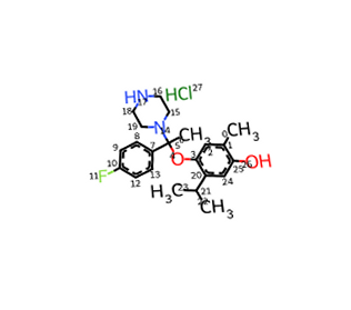 Cc1cc(OC(C)(c2ccc(F)cc2)N2CCNCC2)c(C(C)C)cc1O.Cl